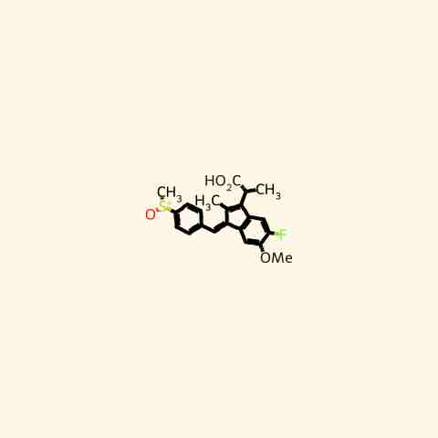 COc1cc2c(cc1F)C(C(C)C(=O)O)=C(C)C2=Cc1ccc([S+](C)[O-])cc1